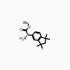 CC(C)(C)OC(=O)N(N)c1ccc2c(c1)C(C)(C)CC2(C)C